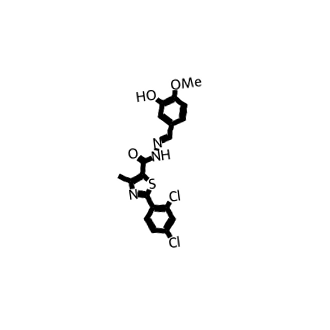 COc1ccc(/C=N/NC(=O)c2sc(-c3ccc(Cl)cc3Cl)nc2C)cc1O